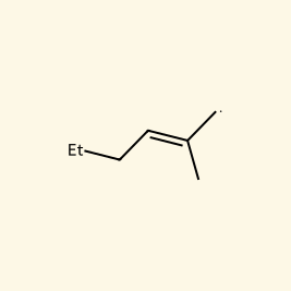 [CH2]CC/C=C(/[CH2])C